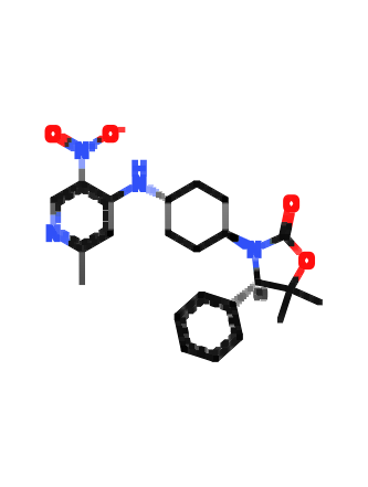 Cc1cc(N[C@H]2CC[C@H](N3C(=O)OC(C)(C)[C@@H]3c3ccccc3)CC2)c([N+](=O)[O-])cn1